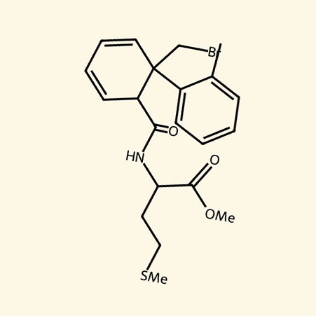 COC(=O)C(CCSC)NC(=O)C1C=CC=CC1(CBr)c1ccccc1C